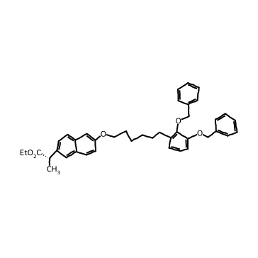 CCOC(=O)[C@@H](C)c1ccc2cc(OCCCCCCc3cccc(OCc4ccccc4)c3OCc3ccccc3)ccc2c1